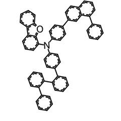 c1ccc(-c2ccccc2-c2ccccc2-c2ccc(N(c3ccc(-c4ccc5cccc(-c6ccccc6)c5c4)cc3)c3cccc4c3oc3ccccc34)cc2)cc1